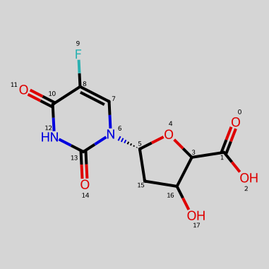 O=C(O)C1O[C@@H](n2cc(F)c(=O)[nH]c2=O)CC1O